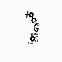 CC(F)(F)c1cccc(C2CCN(C(=O)CN3CC[C@@H](C(=O)Nc4ccc(O)c(Cl)c4)C3)CC2)c1